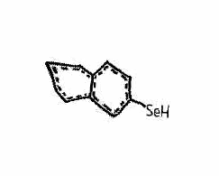 [SeH]c1ccc2ccccc2c1